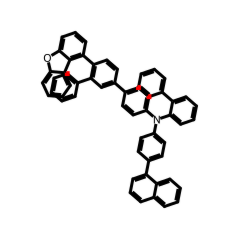 c1ccc(-c2cc(-c3ccc(N(c4ccc(-c5cccc6ccccc56)cc4)c4ccccc4-c4ccccc4)cc3)ccc2-c2cccc3oc4ccccc4c23)cc1